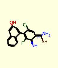 N=C1C(F)=C(c2cc(O)cc3ccccc23)C(Cl)=C/C1=C(\N)S